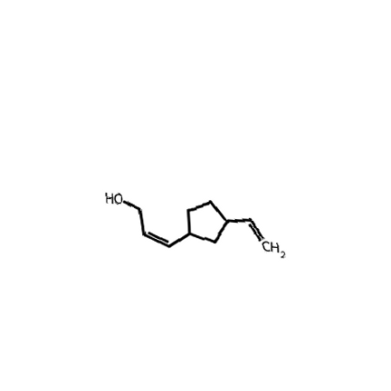 C=CC1CCC(/C=C\CO)C1